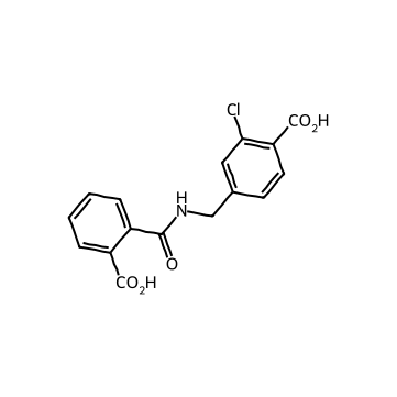 O=C(O)c1ccc(CNC(=O)c2ccccc2C(=O)O)cc1Cl